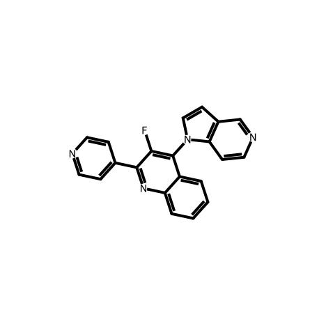 Fc1c(-c2ccncc2)nc2ccccc2c1-n1ccc2cnccc21